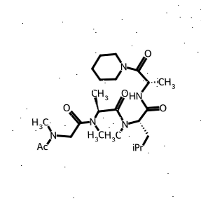 CC(=O)N(C)CC(=O)N(C)[C@@H](C)C(=O)N(C)[C@@H](CC(C)C)C(=O)N[C@@H](C)C(=O)N1CCCCC1